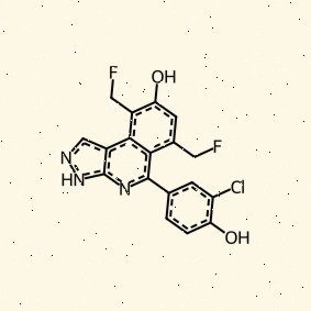 Oc1ccc(-c2nc3[nH]ncc3c3c(CF)c(O)cc(CF)c23)cc1Cl